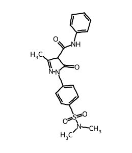 CC1=NN(c2ccc(S(=O)(=O)N(C)C)cc2)C(=O)C1C(=O)Nc1ccccc1